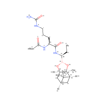 CCCCCCCCCC(=O)N[C@@H](CCCNC(N)=O)C(=O)N[C@@H](CC(C)C)B1O[C@@H]2C[C@@H]3C[C@@H](C3(C)C)[C@]2(C)O1